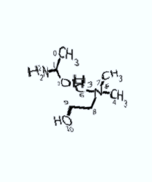 CC(N)O.C[N+](C)(C)CCO